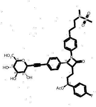 CC(=O)O[C@@H](CCC1C(=O)N(c2ccc(CCCN(C)S(C)(=O)=O)cc2)[C@@H]1c1ccc(C#CC2O[C@H](C(=O)O)[C@@H](O)[C@H](O)[C@H]2O)cc1)c1ccc(F)cc1